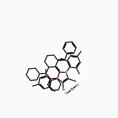 Cc1cc(C)c(N2C(Br)=C(Br)N(c3c(C)cc(C)cc3C)C2=C2C(=Cc3ccccc3)CCCC2P(C2CCCCC2)C2CCCCC2)c(C)c1.[Cl][Ru][Cl]